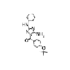 CC(C)(C)Oc1ccc(C(=O)n2nc(Nc3ccccc3)nc2N)cc1